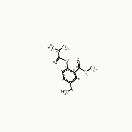 CCc1ccc(SC(=O)N(C)C)c(C(=O)OC)c1